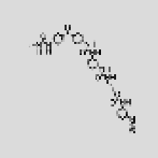 CNC(=O)Nc1ccc(C(=O)c2ccc(NC(=O)Nc3cccc(NC(=O)NCCCOC(=O)Nc4cccc(N=C=O)c4)c3)cc2)cc1